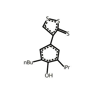 CCCCc1cc(-c2cssc2=S)cc(C(C)C)c1O